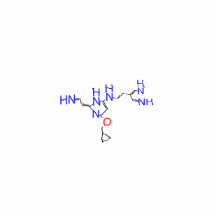 CN/C=C(\C=N)CCNC1=CC(OCC2CC2)=N/C(=C/C=N)N1